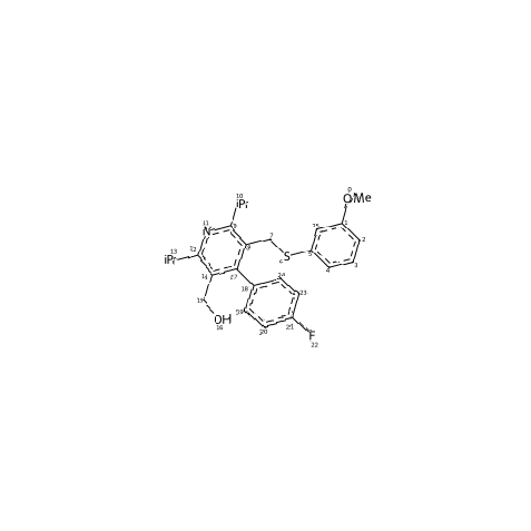 COc1cccc(SCc2c(C(C)C)nc(C(C)C)c(CO)c2-c2ccc(F)cc2)c1